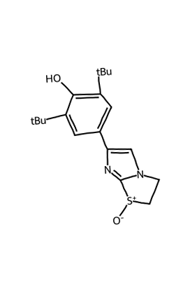 CC(C)(C)c1cc(-c2cn3c(n2)[S+]([O-])CC3)cc(C(C)(C)C)c1O